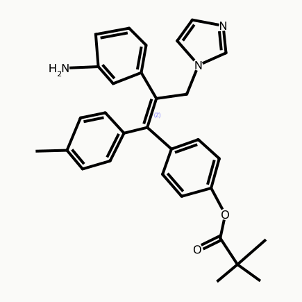 Cc1ccc(/C(=C(/Cn2ccnc2)c2cccc(N)c2)c2ccc(OC(=O)C(C)(C)C)cc2)cc1